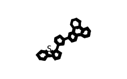 C1=Cc2c(c3cc(-c4cccc(-c5cccc6c5sc5ccccc56)c4)ccc3c3ccccc23)CC1